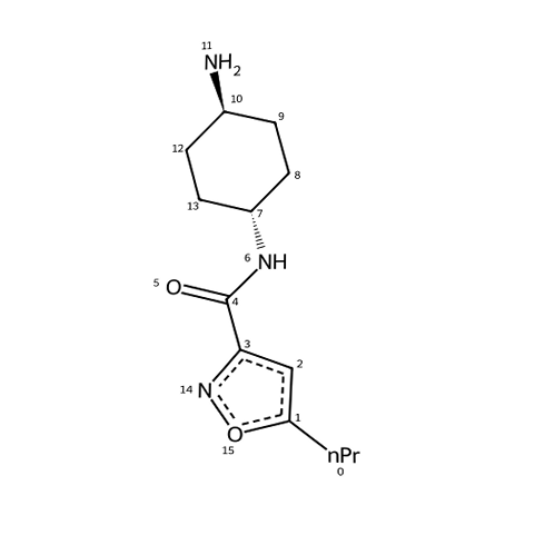 CCCc1cc(C(=O)N[C@H]2CC[C@H](N)CC2)no1